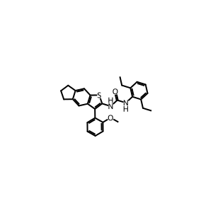 CCc1cccc(CC)c1NC(=O)Nc1sc2cc3c(cc2c1-c1ccccc1OC)CCC3